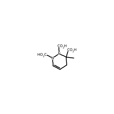 CC1(C(=O)O)CC=CN(C(=O)O)N1C(=O)O